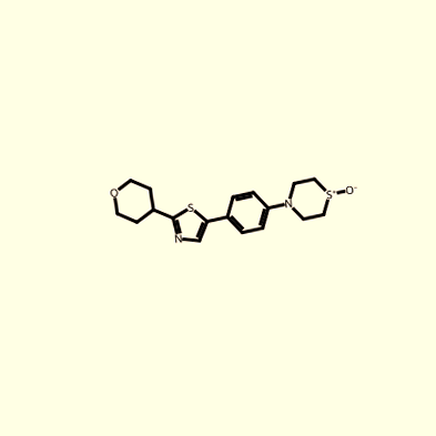 [O-][S+]1CCN(c2ccc(-c3cnc(C4CCOCC4)s3)cc2)CC1